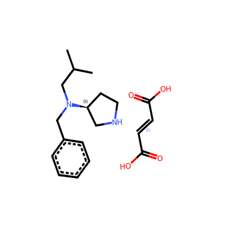 CC(C)CN(Cc1ccccc1)[C@H]1CCNC1.O=C(O)/C=C/C(=O)O